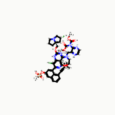 CC(C)[Si](C#Cc1cccc2cc(OS(=O)(=O)C(F)(F)F)cc(-c3nc4c5c(nc(OC[C@@]67CCCN6C[C@H](F)C7)nc5c3F)N([C@H](C)c3nccnc3N(C(=O)OC(C)(C)C)C(=O)OC(C)(C)C)CCO4)c12)(C(C)C)C(C)C